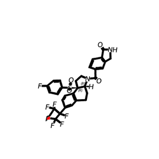 O=C1NCc2cc(C(=O)N3CC[C@@]4(S(=O)(=O)c5ccc(F)cc5)c5ccc(C(F)(C(F)(F)F)C(F)(F)F)cc5CC[C@@H]34)ccc21